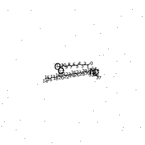 CCCCCCCCCCCC(=O)[O-].CCCCCCCCCCCCCCCCCC[N+](C)(C)OCC